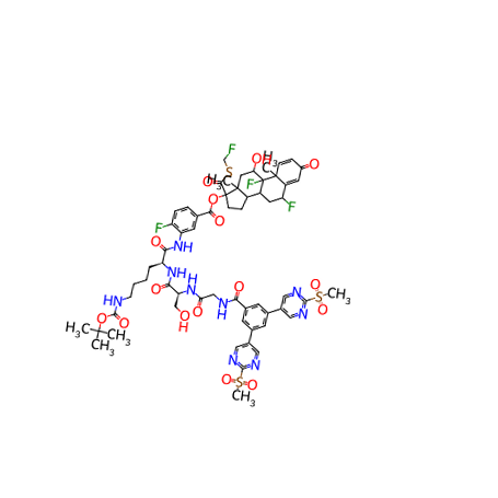 CC(C)(C)OC(=O)NCCCC[C@H](NC(=O)[C@H](CO)NC(=O)CNC(=O)c1cc(-c2cnc(S(C)(=O)=O)nc2)cc(-c2cnc(S(C)(=O)=O)nc2)c1)C(=O)Nc1cc(C(=O)OC2(C(=O)SCF)CCC3C4CC(F)C5=CC(=O)C=CC5(C)C4(F)C(O)CC32C)ccc1F